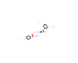 Cc1cc(C)cc(-c2csc(N3CCN(S(=O)(=O)c4ccc(Br)cc4Cl)CC3)n2)c1